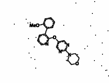 COc1ccccc1-c1cccnc1Oc1cnc(N2CCOCC2)nc1